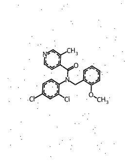 COc1ccccc1CN(C(=O)c1ccncc1C)c1ccc(Cl)cc1Cl